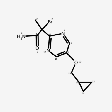 CC(Br)(C(N)=O)c1ncc(OCC2CC2)cn1